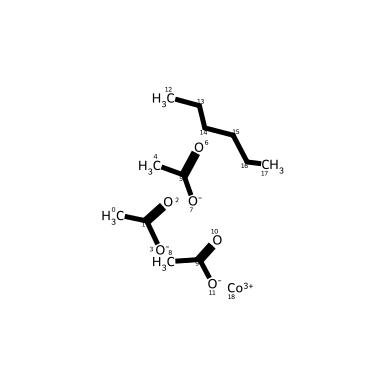 CC(=O)[O-].CC(=O)[O-].CC(=O)[O-].CCCCCC.[Co+3]